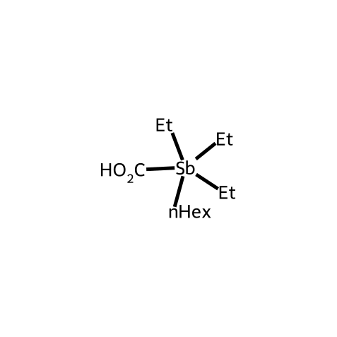 CCCCC[CH2][Sb]([CH2]C)([CH2]C)([CH2]C)[C](=O)O